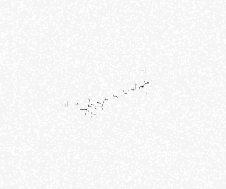 C=C(C)C(=O)NCCCOCCOCCCNC(=O)C(C)CSCCC